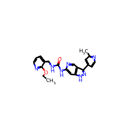 CCOc1ncccc1CNC(=O)Nc1cc2[nH]nc(-c3ccnc(C)c3)c2cn1